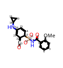 COc1ccccc1C(=O)NS(=O)(=O)C1C=CC(NC2CC2)=CC1=C=O